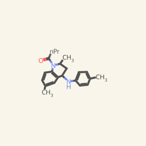 CCCC(=O)N1c2ccc(C)cc2C(Nc2ccc(C)cc2)CC1C